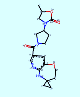 CC1CN([C@H]2CCN(C(=O)c3cnc4c(c3)OCCC3(CC3)N4)C2)C(=O)O1